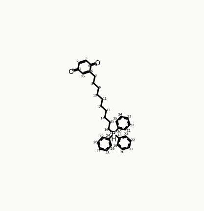 O=C1C=CC(=O)C(CCCCCCCCCC[PH](c2ccccc2)(c2ccccc2)c2ccccc2)=C1